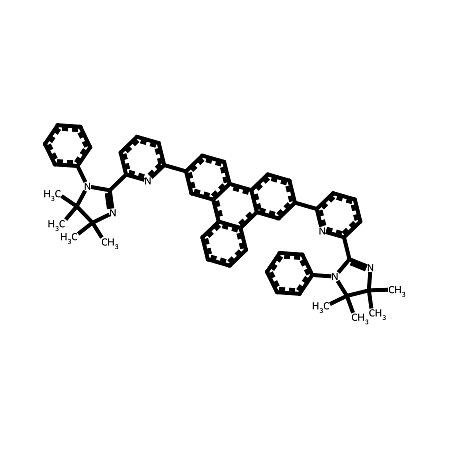 CC1(C)N=C(c2cccc(-c3ccc4c5ccc(-c6cccc(C7=NC(C)(C)C(C)(C)N7c7ccccc7)n6)cc5c5ccccc5c4c3)n2)N(c2ccccc2)C1(C)C